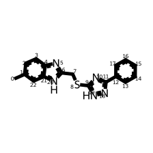 Cc1ccc2nc(CSc3nc(-c4ccccc4)n[nH]3)[nH]c2c1